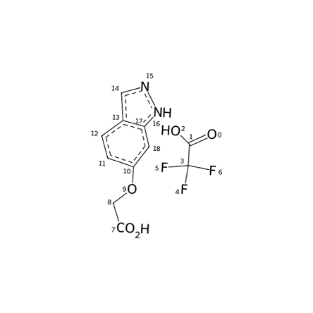 O=C(O)C(F)(F)F.O=C(O)COc1ccc2cn[nH]c2c1